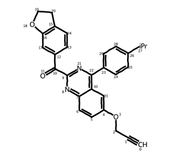 C#CCOc1ccc2nc(C(=O)c3ccc4c(c3)OCC4)nc(-c3ccc(C(C)C)cc3)c2c1